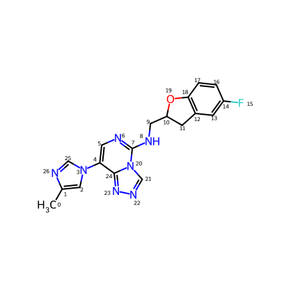 Cc1cn(-c2cnc(NCC3Cc4cc(F)ccc4O3)n3cnnc23)cn1